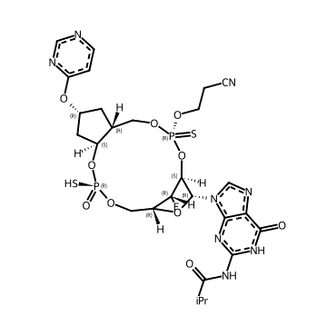 CC(C)C(=O)Nc1nc2c(ncn2[C@@H]2O[C@@H]3CO[P@@](=O)(S)O[C@H]4C[C@H](Oc5ccncn5)C[C@@H]4CO[P@](=S)(OCCC#N)O[C@@H]2[C@@H]3F)c(=O)[nH]1